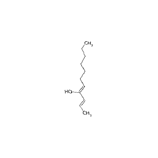 CC=CC(O)=CCCCCCC